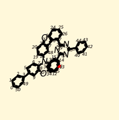 c1ccc(-c2ccc3c(c2)Oc2ccccc2N3c2ccc3oc4cccc(-c5nc(-c6ccccc6)nc(-c6ccccc6)n5)c4c3c2)cc1